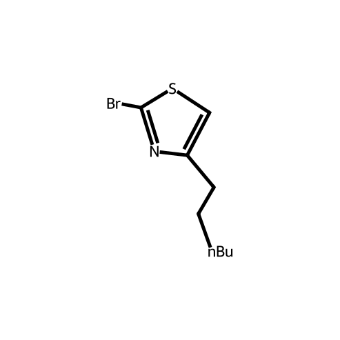 CCCCCCc1csc(Br)n1